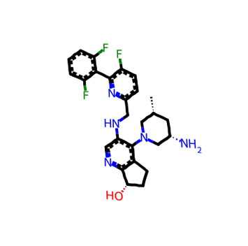 C[C@@H]1C[C@H](N)CN(c2c(NCc3ccc(F)c(-c4c(F)cccc4F)n3)cnc3c2CC[C@@H]3O)C1